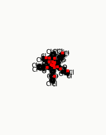 O=C1c2cc(Cl)c(Cl)cc2C(=O)N1c1ccc(C(OC(c2ccc(N3C(=O)c4cc(Cl)c(Cl)cc4C3=O)cc2)(c2ccc(N3C(=O)c4cc(Cl)c(Cl)cc4C3=O)cc2)c2ccc(N3C(=O)c4cc(Cl)c(Cl)cc4C3=O)cc2)(c2ccc(N3C(=O)c4cc(Cl)c(Cl)cc4C3=O)cc2)c2ccc(N3C(=O)c4cc(Cl)c(Cl)cc4C3=O)cc2)cc1